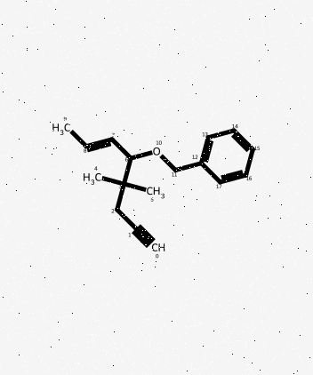 C#CCC(C)(C)C(C=CC)OCc1ccccc1